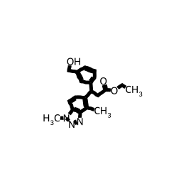 CCOC(=O)CC(c1cccc(CO)c1)c1ccc2c(nnn2C)c1C